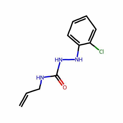 C=CCNC(=O)NNc1ccccc1Cl